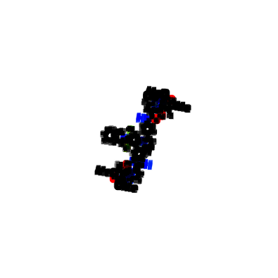 COC[C@H]1C[C@@H](C(=O)Nc2ccc([C@H]3CC[C@@H]4c5cc6[nH]c([C@@H]7CCCN7C(=O)[C@@H](NC(=O)OC)[C@@H](C)OC)nc6cc5-c5c(cc(F)c(N6CC[Si]7(CCCCC7)CC6)c5F)N34)cc2)N(C(=O)[C@@H](NC(=O)OC)[C@@H](C)OC)C1